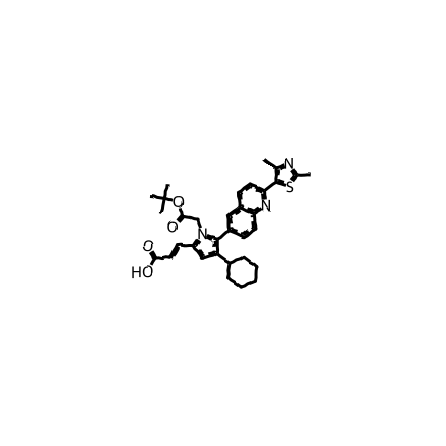 Cc1nc(C)c(-c2ccc3cc(-c4c(C5CCCCC5)cc(C=CC(=O)O)n4CC(=O)OC(C)(C)C)ccc3n2)s1